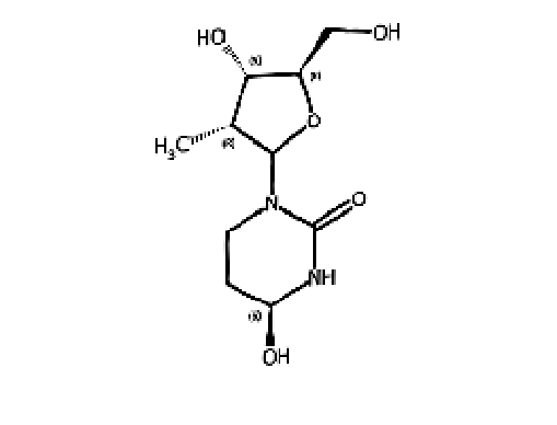 C[C@H]1C(N2CC[C@H](O)NC2=O)O[C@H](CO)[C@H]1O